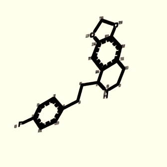 Fc1ccc(CCC2NCCc3cc4c(cc32)OCO4)cc1